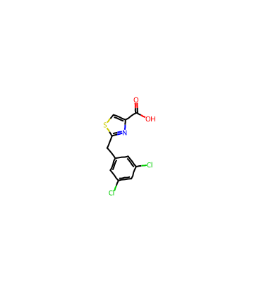 O=C(O)c1csc(Cc2cc(Cl)cc(Cl)c2)n1